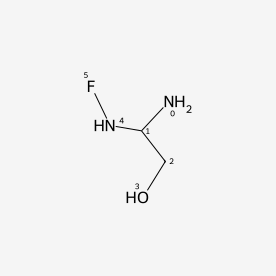 NC(CO)NF